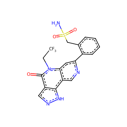 NS(=O)(=O)Cc1ccccc1-c1cc2c(cn1)c1[nH]ncc1c(=O)n2CC(F)(F)F